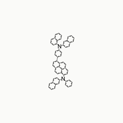 c1ccc(N(c2ccc3ccccc3c2)c2ccc3ccc4c(-c5ccc(N(c6ccc7ccccc7c6)c6cccc7ccccc67)cc5)ccc5ccc2c3c54)cc1